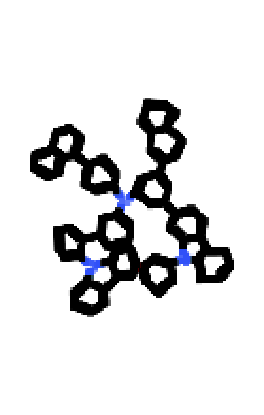 c1ccc(-n2c3ccccc3c3ccc(-c4cc(-c5ccc6ccccc6c5)cc(N(c5ccc(-c6cccc7ccccc67)cc5)c5cccc(-c6ccccc6-n6c7ccccc7c7ccccc76)c5)c4)cc32)cc1